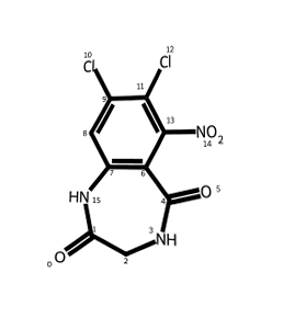 O=C1CNC(=O)c2c(cc(Cl)c(Cl)c2[N+](=O)[O-])N1